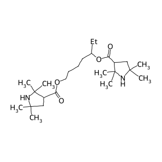 CCC(CCCCOC(=O)C1CC(C)(C)NC1(C)C)OC(=O)C1CC(C)(C)NC1(C)C